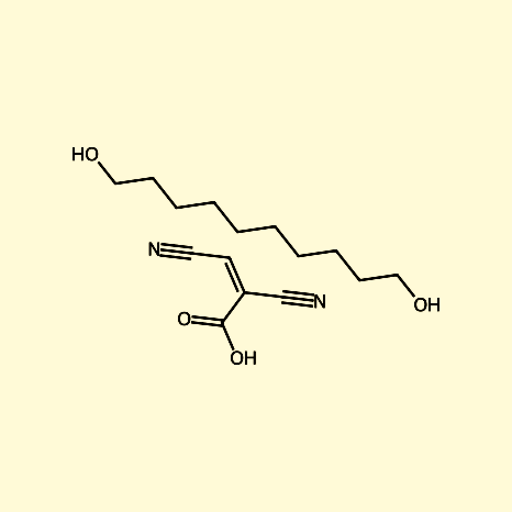 N#CC=C(C#N)C(=O)O.OCCCCCCCCCCO